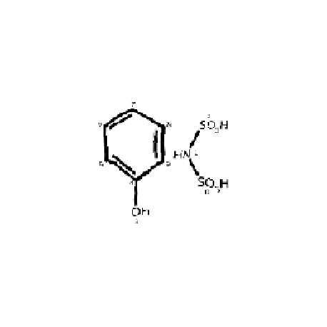 O=S(=O)(O)NS(=O)(=O)O.Oc1ccccc1